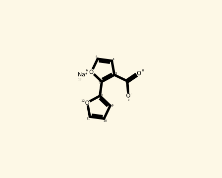 O=C([O-])c1ccoc1-c1ccco1.[Na+]